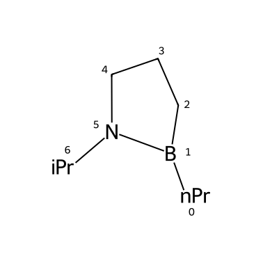 CCCB1CCCN1C(C)C